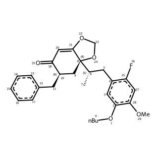 CCCCOc1cc(C[C@H](C)[C@]23C[C@@H](Cc4ccccc4)C(=O)C=C2OCO3)c(F)cc1OC